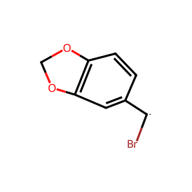 Br[CH]c1ccc2c(c1)OCO2